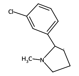 CN1CC[CH]C1c1cccc(Cl)c1